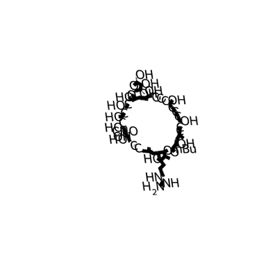 CCCCC1C(=O)OC(C(C)C(O)CCCNC(=N)N)C(C)/C=C(\C)CCCCC(O)CC(O)CC(O)CC(O)CC(O)C(O[C@H]2O[C@H](CO)[C@@H](O)[C@@H]2O)/C=C(\C)C(O)CCCC(O)CCCC(O)CCC(C)C1O.O=CO